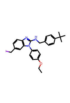 CCOc1ccc(-n2c(NCc3ccc(C(C)(C)C)cc3)nc3ccc(CI)cc32)cc1